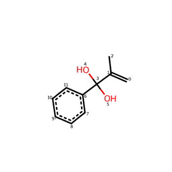 C=C(C)C(O)(O)c1cc[c]cc1